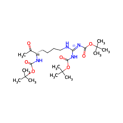 CC(=O)[C@H](CCCCN/C(=N/C(=O)OC(C)(C)C)NC(=O)OC(C)(C)C)NC(=O)OC(C)(C)C